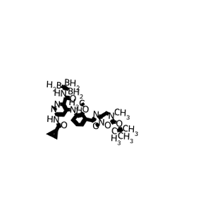 BC(B)(B)NC(=O)c1nnc(NC(=O)C2CC2)cc1Nc1cccc(-c2nc(CN(C)C(=O)OC(C)(C)C)no2)c1OC